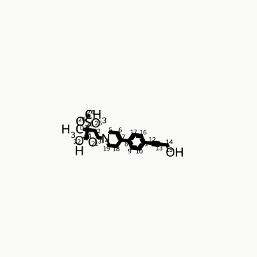 CC(CCN1CC=C(c2ccc(C#CCO)cc2)CC1)(C(=O)O)S(C)(=O)=O